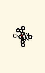 Clc1ccc2c(c1)c1cc3ccccc3cc1n2-c1nc2ccccc2nc1-c1ccc2c3ccccc3c3ccccc3c2c1